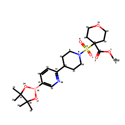 CC(C)(C)OC(=O)C1(S(=O)(=O)N2CCC(c3ccc(B4OC(C)(C)C(C)(C)O4)cn3)CC2)CCOCC1